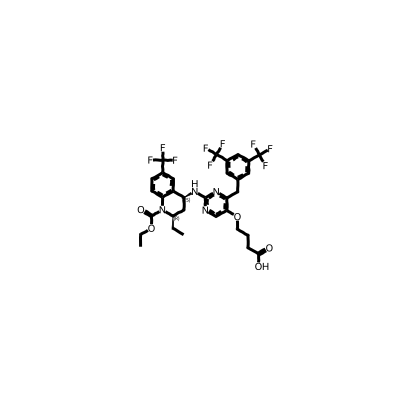 CCOC(=O)N1c2ccc(C(F)(F)F)cc2[C@@H](Nc2ncc(OCCCC(=O)O)c(Cc3cc(C(F)(F)F)cc(C(F)(F)F)c3)n2)C[C@H]1CC